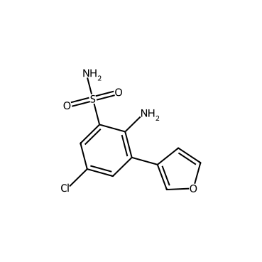 Nc1c(-c2ccoc2)cc(Cl)cc1S(N)(=O)=O